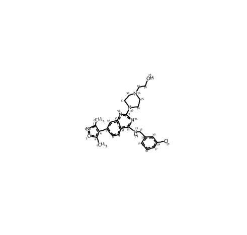 Cc1noc(C)c1-c1ccc2c(NCc3cccc(Cl)c3)nc(N3CCN(CCO)CC3)nc2c1